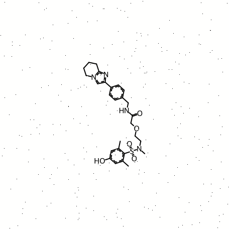 Cc1cc(O)cc(C)c1S(=O)(=O)N(C)CCOCC(=O)NCc1ccc(-c2cn3c(n2)CCCC3)cc1